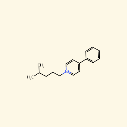 CC(C)CCC[n+]1ccc(-c2ccccc2)cc1